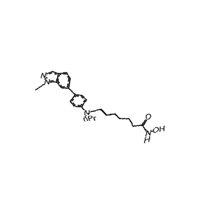 CCCN(CCCCCCC(=O)NO)c1ccc(-c2ccc3cnn(C)c3c2)cc1